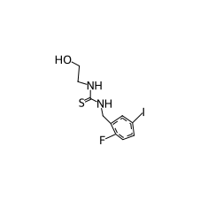 OCCNC(=S)NCc1cc(I)ccc1F